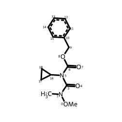 CON(C)C(=O)N(C(=O)OCc1ccccc1)C1CC1